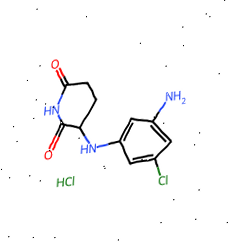 Cl.Nc1cc(Cl)cc(NC2CCC(=O)NC2=O)c1